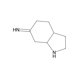 N=C1CCC2CCNC2C1